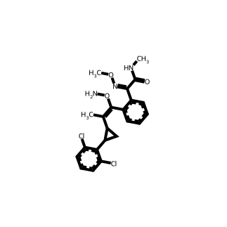 CNC(=O)C(=NOC)c1ccccc1C(ON)=C(C)C1CC1c1c(Cl)cccc1Cl